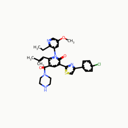 CCc1ncc(OC)cc1-n1c(C=C(C)C)c(C(=O)N2CCNCC2)cc(-c2nc(-c3ccc(Cl)cc3)cs2)c1=O